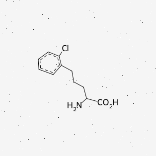 NC(CCCc1ccccc1Cl)C(=O)O